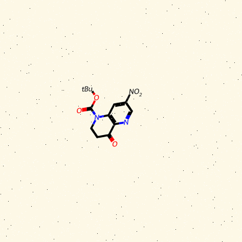 CC(C)(C)OC(=O)N1CCC(=O)c2ncc([N+](=O)[O-])cc21